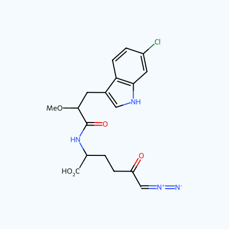 COC(Cc1c[nH]c2cc(Cl)ccc12)C(=O)NC(CCC(=O)C=[N+]=[N-])C(=O)O